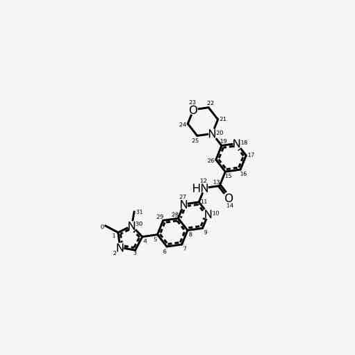 Cc1ncc(-c2ccc3cnc(NC(=O)c4ccnc(N5CCOCC5)c4)nc3c2)n1C